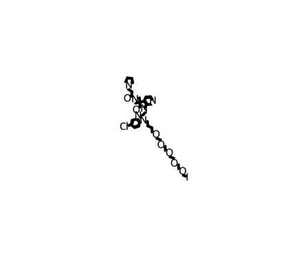 O=C(CCN1CCCC1)N1CC2(C1)C(=O)N(Cc1nc3cc(Cl)ccc3n1CCCCOCCOCCOCCOCCOCI)c1cnccc12